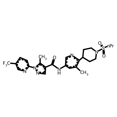 CCCS(=O)(=O)N1CCC(c2ncc(NC(=O)c3cnn(-c4ccc(C(F)(F)F)cn4)c3C)cc2C)CC1